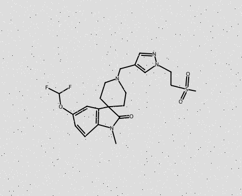 CN1C(=O)C2(CCN(Cc3cnn(CCS(C)(=O)=O)c3)CC2)c2cc(OC(F)F)ccc21